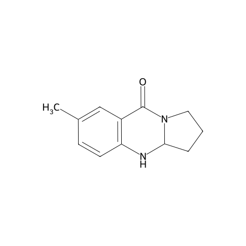 Cc1ccc2c(c1)C(=O)N1CCCC1N2